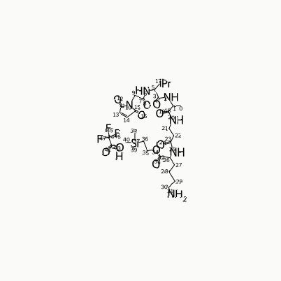 CC(NC(=O)C(NC(=O)CN1C(=O)C=CC1=O)C(C)C)C(=O)NCCC(=O)NC(CCCCN)C(=O)OCC[Si](C)(C)C.O=C(O)C(F)(F)F